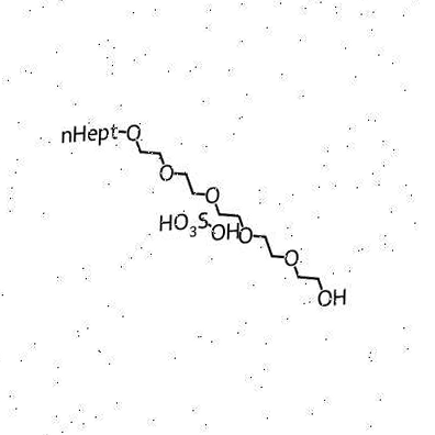 CCCCCCCOCCOCCOCCOCCOCCO.O=S(=O)(O)O